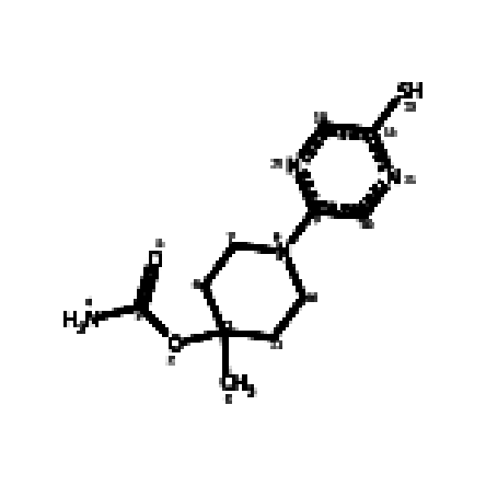 CC1(OC(N)=O)CCN(c2cnc(S)cn2)CC1